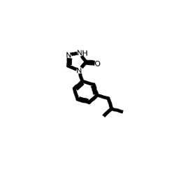 CC(C)Cc1cccc(-n2cn[nH]c2=O)c1